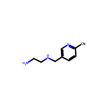 N#Cc1ccc(CNCCN)cn1